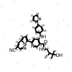 CC(C)(O)C(F)CNC(=O)c1cnc(-c2ccc3cc(C#N)cnn23)cc1Nc1ccc(-n2cccn2)cc1